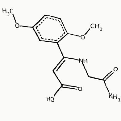 COc1ccc(OC)c(C(=CC(=O)O)NCC(N)=O)c1